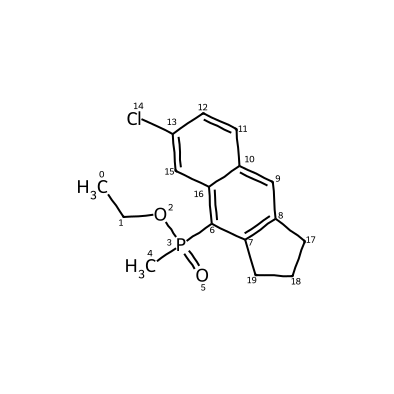 CCOP(C)(=O)c1c2c(cc3ccc(Cl)cc13)CCC2